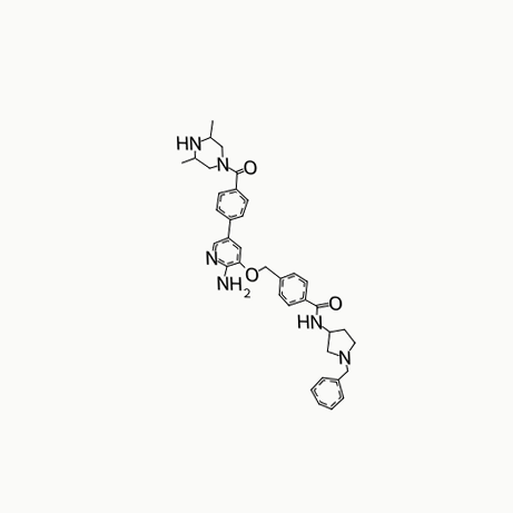 CC1CN(C(=O)c2ccc(-c3cnc(N)c(OCc4ccc(C(=O)NC5CCN(Cc6ccccc6)C5)cc4)c3)cc2)CC(C)N1